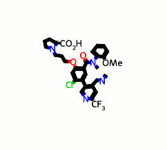 C=NCc1cc(C(F)(F)F)ncc1-c1cc(C(=O)N(C)c2ccccc2OC)c(OCCCN2CCC[C@H]2C(=O)O)cc1Cl